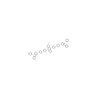 CCCC(C)(C)c1ccc2c(-c3ccc(-c4ccc(-c5ccc6c(c5)c5ccccc5n6-c5ccc(C(C)(C)C)cc5)cc4)cc3)c3ccccc3c(-c3ccc(-c4ccc(-c5ccc6c(c5)c5ccccc5n6-c5ccc(C(C)(C)C)cc5)cc4)cc3)c2c1